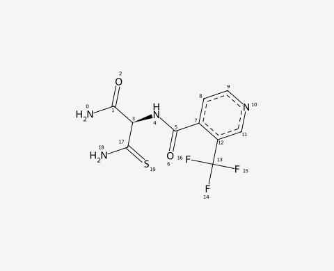 NC(=O)[C@@H](NC(=O)c1ccncc1C(F)(F)F)C(N)=S